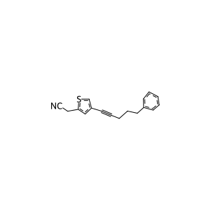 N#CCc1cc(C#CCCCc2ccccc2)cs1